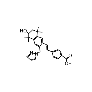 CC1(C)CC(O)C(C)(C)c2cc(Cn3cccn3)c(/C=C/c3ccc(C(=O)O)cc3)cc21